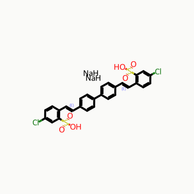 O=S(=O)(O)c1cc(Cl)ccc1/C=C/c1ccc(-c2ccc(/C=C/c3ccc(Cl)cc3S(=O)(=O)O)cc2)cc1.[NaH].[NaH]